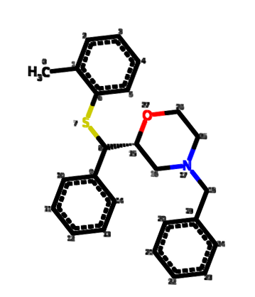 Cc1ccccc1SC(c1ccccc1)[C@H]1CN(Cc2ccccc2)CCO1